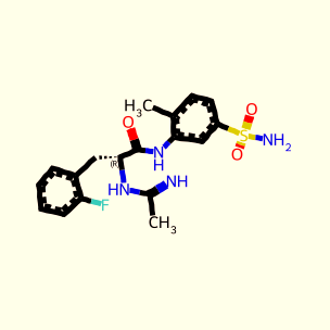 CC(=N)N[C@H](Cc1ccccc1F)C(=O)Nc1cc(S(N)(=O)=O)ccc1C